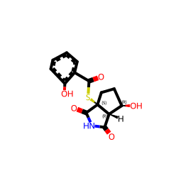 O=C(S[C@@]12CC[C@@H](O)[C@@H]1C(=O)NC2=O)c1ccccc1O